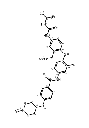 CCC(CC)NC(=O)Nc1ccc(Oc2ccc(NC(=O)c3ccc(OC4CCN(C(C)C)CC4)cc3)cc2C)c(COC)c1